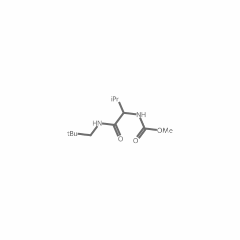 COC(=O)NC(C(=O)NCC(C)(C)C)C(C)C